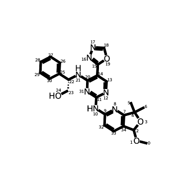 COC1OC(C)(C)c2nc(Nc3ncc(-c4nnco4)c(N[C@H](CO)c4ccccc4)n3)ccc21